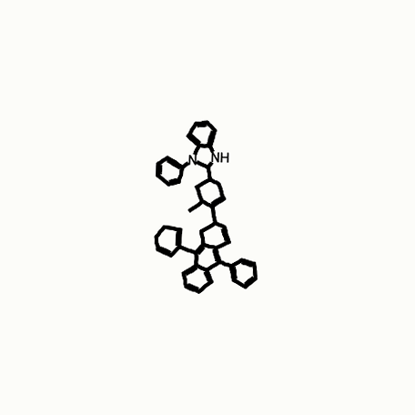 CC1CC(C2Nc3ccccc3N2c2ccccc2)CC=C1C1C=Cc2c(c(C3=CCCC=C3)c3ccccc3c2-c2ccccc2)C1